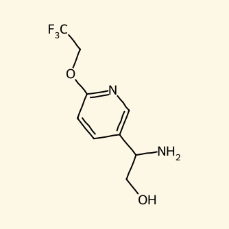 NC(CO)c1ccc(OCC(F)(F)F)nc1